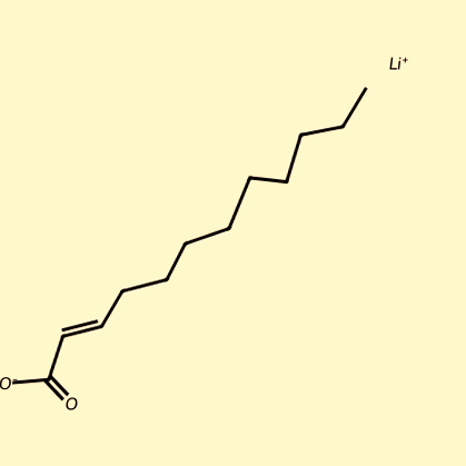 CCCCCCCCCC=CC(=O)[O-].[Li+]